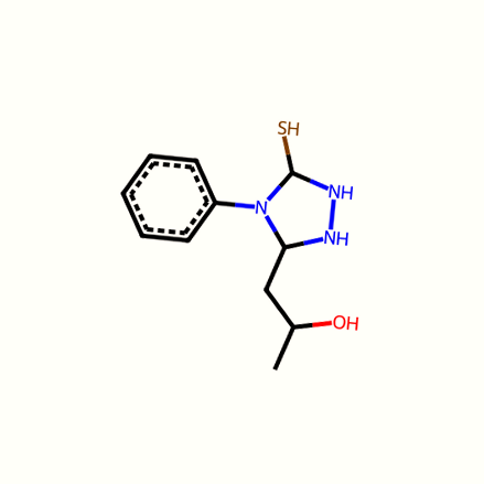 CC(O)CC1NNC(S)N1c1ccccc1